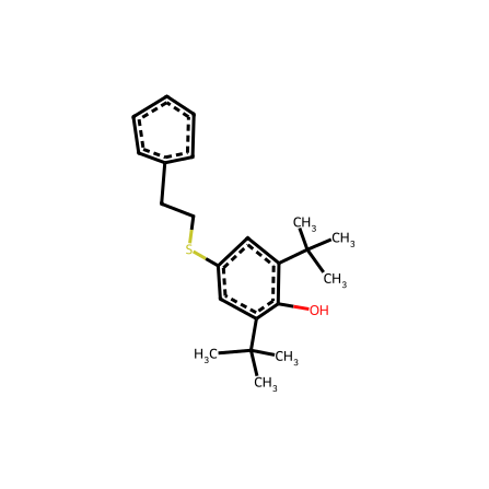 CC(C)(C)c1cc(SCCc2ccccc2)cc(C(C)(C)C)c1O